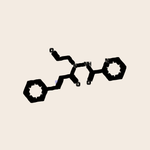 O=[C]CN(NC(=O)c1ccccn1)C(=O)/C=C/c1ccccc1